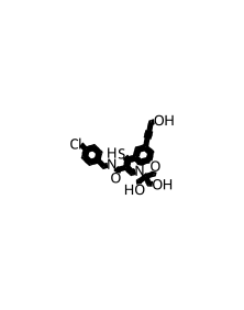 O=C(NCc1ccc(Cl)cc1)c1cn2c3c(cc(C#CCO)cc3c1=S)OCC2(CO)CO